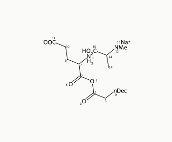 CCCCCCCCCCCC(=O)OC(=O)C(N)CCC(=O)[O-].CNC(C)C(=O)O.[Na+]